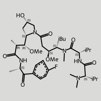 CCC(C)[C@@H]([C@H](CC(=O)N1C[C@@H](O)C[C@H]1[C@H](OC)[C@@H](C)C(=O)N[C@@H](C)C(=O)c1ccc(F)cc1)OC)N(C)C(=O)[C@@H](NC(=O)[C@H](C(C)C)N(C)C)C(C)C